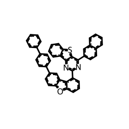 c1ccc(-c2ccc(-c3ccc4oc5cccc(-c6nc(-c7ccc8ccccc8c7)c7sc8ccccc8c7n6)c5c4c3)cc2)cc1